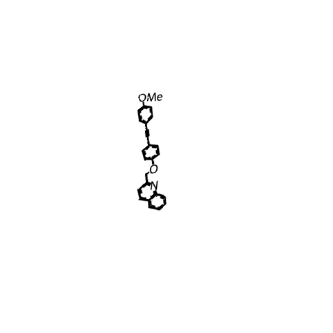 COc1ccc(C#Cc2ccc(OCc3ccc4ccccc4n3)cc2)cc1